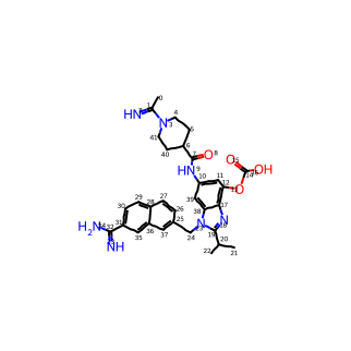 CC(=N)N1CCC(C(=O)Nc2cc(OC(=O)O)c3nc(C(C)C)n(Cc4ccc5ccc(C(=N)N)cc5c4)c3c2)CC1